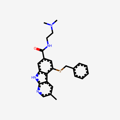 Cc1cnc2[nH]c3cc(C(=O)NCCN(C)C)cc(SCc4ccccc4)c3c2c1